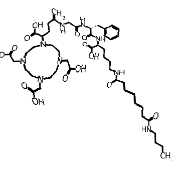 C=C(CCC(C(=O)O)N1CCN(CC(=O)O)CCN(CC(=O)O)CCN(CC(=O)O)CC1)NCC(=O)N[C@H](Cc1ccccc1)C(=O)NC(CCCCNC(=O)CCCCCCC(=O)NCCCC)C(=O)O